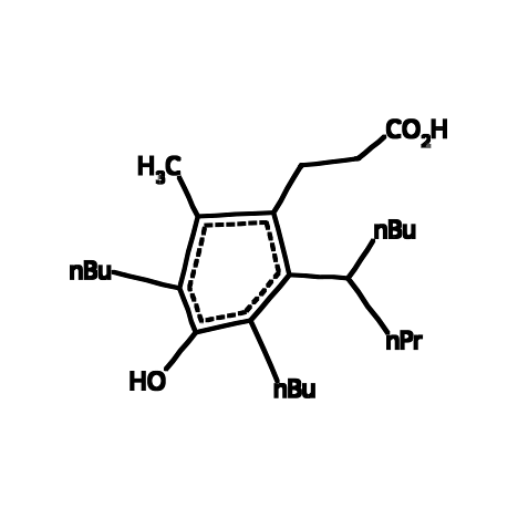 CCCCc1c(C)c(CCC(=O)O)c(C(CCC)CCCC)c(CCCC)c1O